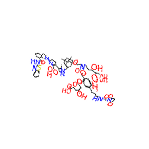 Cc1c(-c2ccc(N3CCc4cccc(C(=O)Nc5nc6ccccc6s5)c4C3)nc2C(=O)O)cnn1CC12CC3(OCCN(CCC(O)C(O)CO)C(=O)OCc4ccc(CCCCNC(=O)CN5C(=O)C=CC5=O)cc4OC4CC(O)CC(C(=O)O)O4)CC4(C)CC(C)(C1)C4(C2)C3